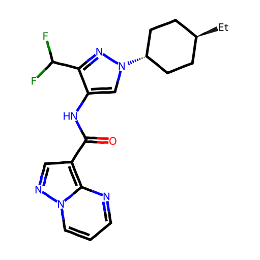 CC[C@H]1CC[C@H](n2cc(NC(=O)c3cnn4cccnc34)c(C(F)F)n2)CC1